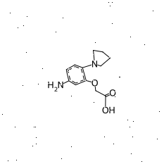 Nc1ccc(N2CCCC2)c(OCC(=O)O)c1